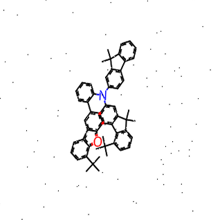 CC(C)(C)c1cccc2c1-c1ccc(N(c3ccc4c(c3)C(C)(C)c3ccccc3-4)c3ccccc3-c3ccc4oc5c(C(C)(C)C)cccc5c4c3)cc1C2(C)C